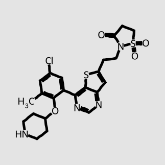 Cc1cc(Cl)cc(-c2ncnc3cc(CCN4C(=O)CCS4(=O)=O)sc23)c1OC1CCNCC1